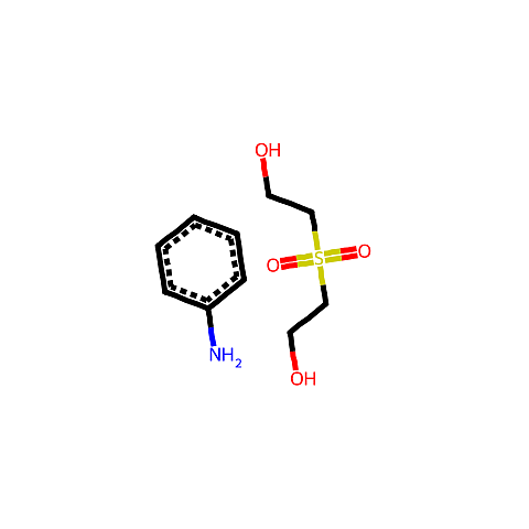 Nc1ccccc1.O=S(=O)(CCO)CCO